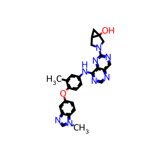 Cc1cc(Nc2ncnc3cnc(N4CC5CC5(O)C4)nc23)ccc1Oc1ccc2c(c1)ncn2C